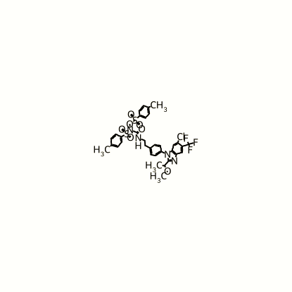 COC(C)c1nc2cc(C(F)(F)F)c(Cl)cc2n1-c1ccc(CCNC(=O)N(OS(=O)(=O)c2ccc(C)cc2)S(=O)(=O)c2ccc(C)cc2)cc1